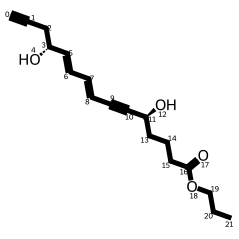 C#CC[C@@H](O)/C=C/C=C/C#C[C@@H](O)CCCC(=O)OCCC